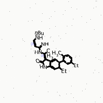 CCCCN/C=C\C(=N)N/C(C)=C1\C(=O)NC2=CC(CC)C(c3cc(CC)ccc3C)C=C21